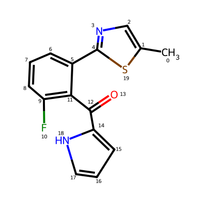 Cc1cnc(-c2cccc(F)c2C(=O)c2ccc[nH]2)s1